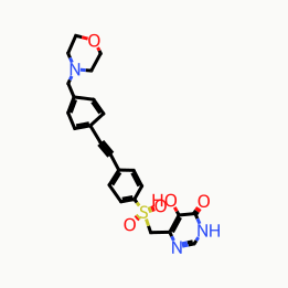 O=c1[nH]cnc(CS(=O)(=O)c2ccc(C#Cc3ccc(CN4CCOCC4)cc3)cc2)c1O